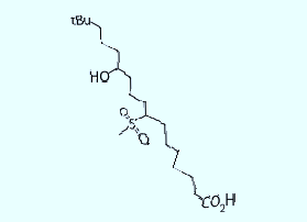 CC(C)(C)CCCC(O)CCCC(CCCCCCC(=O)O)S(C)(=O)=O